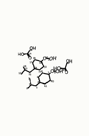 CC(C)CC1CCC(OO)CC1.CC(C)CC1CCC(OO)CC1.O=C(O)O.O=C(O)O